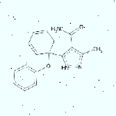 Cc1n[nH]c(C2(Oc3ccccc3)C=CC=CC2)c1C(N)=O